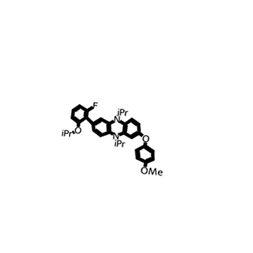 COc1ccc(Oc2ccc3c(c2)N(C(C)C)c2ccc(-c4c(F)cccc4OC(C)C)cc2N3C(C)C)cc1